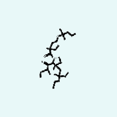 CCCC(C)(CC)CC(C)(CC)C(NC(=O)C(C)(CC)CCOC(C)(C)CCC)C(=O)C(C)CC